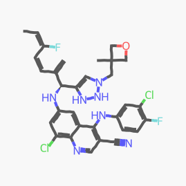 C=C(/C=C\C(F)=C/C)[C@H](Nc1cc(Cl)c2ncc(C#N)c(Nc3ccc(F)c(Cl)c3)c2c1)C1=CN(CC2(C)COC2)NN1